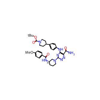 COc1ccc(C(=O)N[C@@H]2CCCN(c3nnc(C(N)=O)c(Nc4ccc(C5CCN(C(=O)OC(C)(C)C)CC5)cc4)n3)C2)cc1